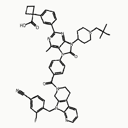 Cc1nc(-c2cccc(C3(C(=O)O)CCC3)c2)nc2c1n(-c1ccc(C(=O)N3CCc4c(n(Cc5ccc(C#N)cc5F)c5ncccc45)C3)cc1)c(=O)n2C1CCN(CC(C)(C)C)CC1